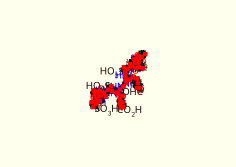 Cn1c(=O)c(C(=O)c2ccccc2)c2c3c(c(Nc4ccc(S(=O)(=O)O)c(Nc5nc(NCCNc6nc(Nc7ccc(S(=O)(=O)O)c(Nc8ccc9c%10c8C(=O)c8ccccc8-c%10c(C(=O)c8cccc(S(=O)(=O)O)c8)c(=O)n9C)c7)nc(Oc7ccc8cc(C(=O)O)ccc8c7)n6)nc(Oc6ccc7cc(OC=O)ccc7c6)n5)c4)ccc31)C(=O)c1ccccc1-2